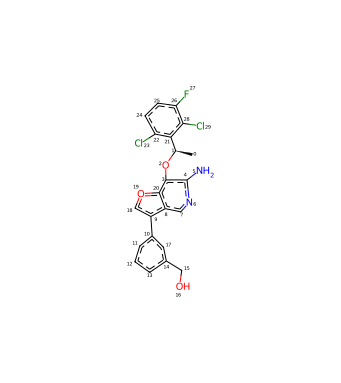 C[C@@H](Oc1c(N)ncc2c(-c3cccc(CO)c3)coc12)c1c(Cl)ccc(F)c1Cl